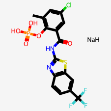 Cc1cc(Cl)cc(C(=O)Nc2nc3ccc(C(F)(F)F)cc3s2)c1OP(=O)(O)O.[NaH]